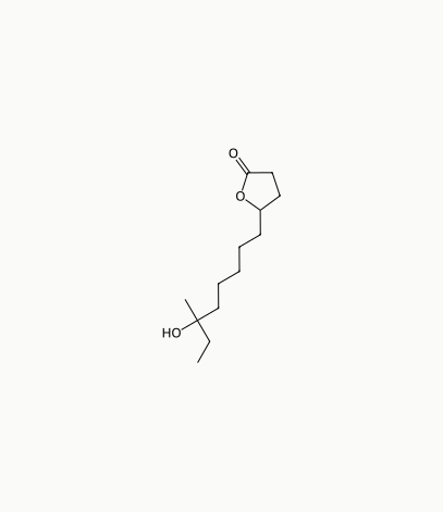 CCC(C)(O)CCCCCC1CCC(=O)O1